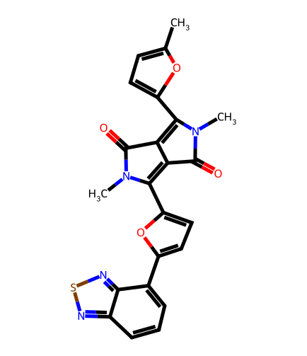 Cc1ccc(C2=C3C(=O)N(C)C(c4ccc(-c5cccc6nsnc56)o4)=C3C(=O)N2C)o1